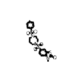 Cn1c(=O)sc2cc(S(=O)(=O)N3CCCN(S(=O)(=O)c4ccccc4)CC3)ccc21